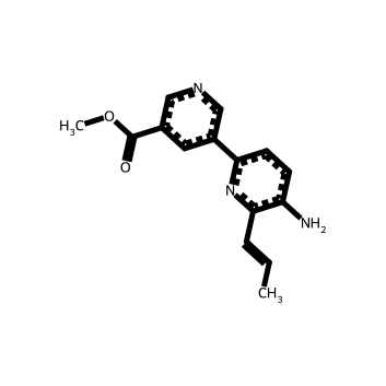 C/C=C/c1nc(-c2cncc(C(=O)OC)c2)ccc1N